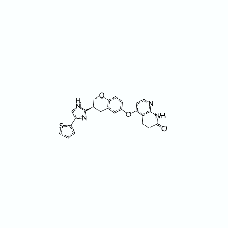 O=C1CCc2c(Oc3ccc4c(c3)C[C@@H](c3nc(-c5cccs5)c[nH]3)CO4)ccnc2N1